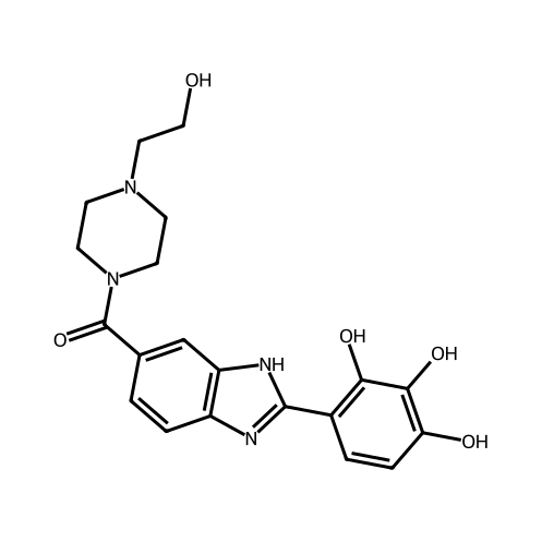 O=C(c1ccc2nc(-c3ccc(O)c(O)c3O)[nH]c2c1)N1CCN(CCO)CC1